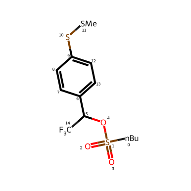 CCCCS(=O)(=O)OC(c1ccc(SSC)cc1)C(F)(F)F